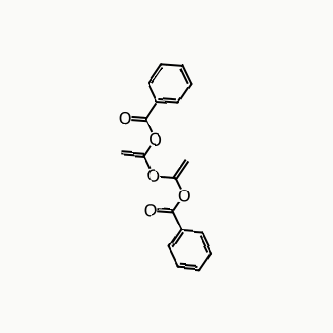 C=C(OC(=C)OC(=O)c1ccccc1)OC(=O)c1ccccc1